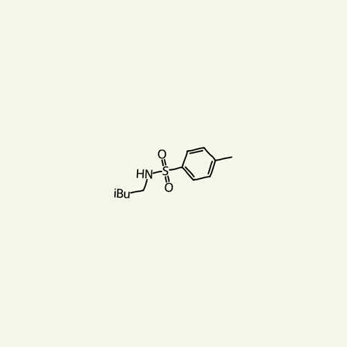 CCC(C)CNS(=O)(=O)c1ccc(C)cc1